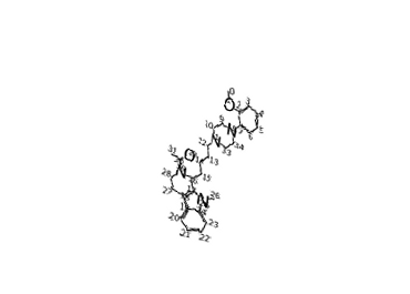 COc1ccccc1N1CCN(CCCCC2c3c(c4ccccc4n3C)CCN2C(C)=O)CC1